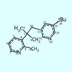 Cc1ncccc1C(C)(C)Cc1cncc(C(C)(C)C)c1